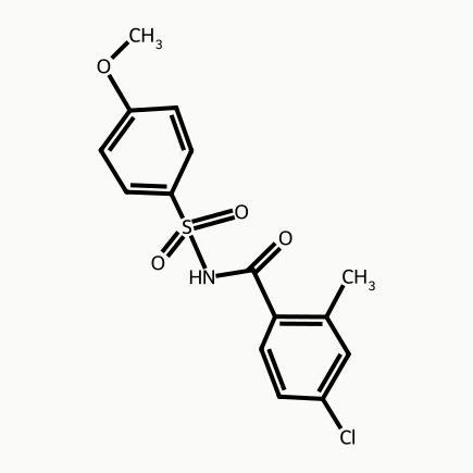 COc1ccc(S(=O)(=O)NC(=O)c2ccc(Cl)cc2C)cc1